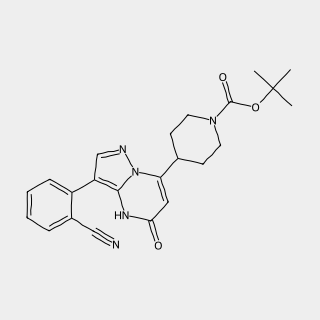 CC(C)(C)OC(=O)N1CCC(c2cc(=O)[nH]c3c(-c4ccccc4C#N)cnn23)CC1